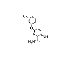 C/C(N)=C1/N=C(Oc2cccc(Cl)c2)C=CC1=N